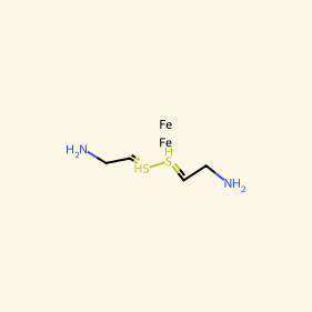 NCC=[SH][SH]=CCN.[Fe].[Fe]